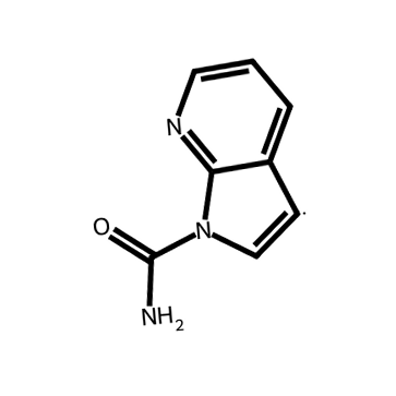 NC(=O)n1c[c]c2cccnc21